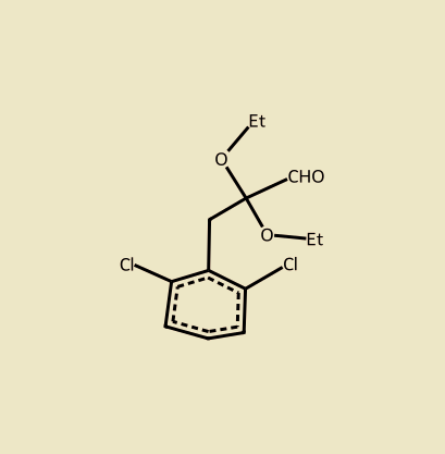 CCOC(C=O)(Cc1c(Cl)cccc1Cl)OCC